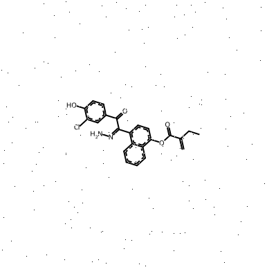 C=C(CC)C(=O)Oc1ccc(C(=NN)C(=O)c2ccc(O)c(Cl)c2)c2ccccc12